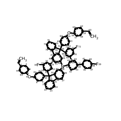 C=Cc1ccc(Oc2ccc(C3(c4cc(F)cc(F)c4)c4ccccc4-c4ccc(N(c5ccc(-c6ccc(F)cc6)cc5)c5ccc6c(c5)C(c5ccc(Oc7ccc(C=C)cc7)cc5)(c5cc(F)cc(F)c5)c5ccccc5-6)cc43)cc2)cc1